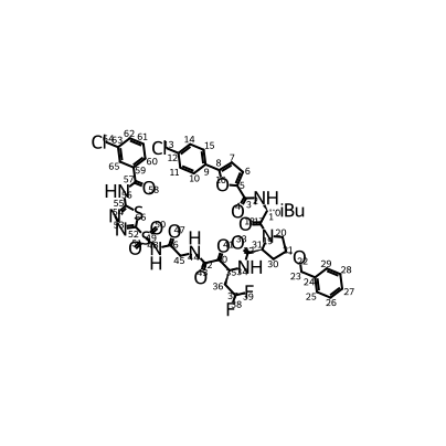 CC[C@@H](C)[C@H](NC(=O)c1ccc(-c2ccc(Cl)cc2)o1)C(=O)N1C[C@H](OCc2ccccc2)C[C@H]1C(=O)N[C@@H](CC(F)F)C(=O)C(=O)NCC(=O)NS(=O)(=O)c1nnc(NC(=O)c2cccc(Cl)c2)s1